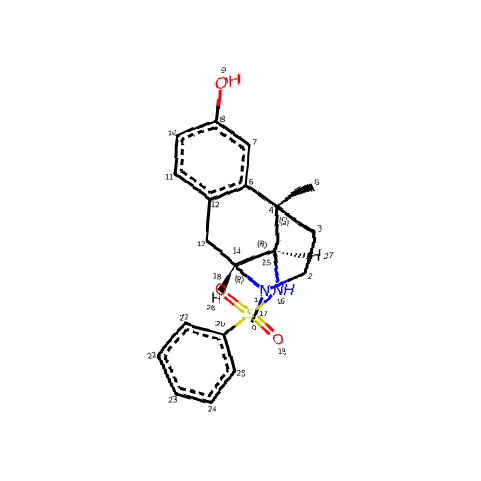 CN1CC[C@@]2(C)c3cc(O)ccc3C[C@@H]1[C@@H]2NS(=O)(=O)c1ccccc1